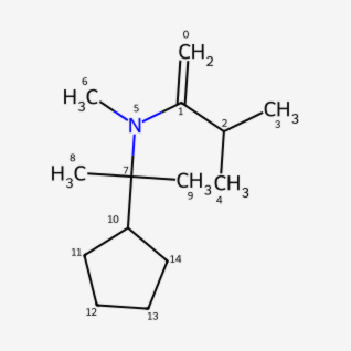 C=C(C(C)C)N(C)C(C)(C)C1CCCC1